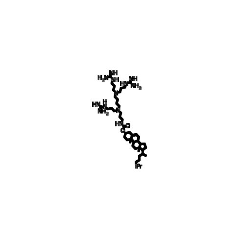 CC(C)CCCC(C)C1CCC2C3CC=C4CC(OC(=O)NCCCN(CCCCN(CCCNC(=N)N)CCCNC(=N)N)CCCNC(=N)N)CCC4(C)C3CCC12C